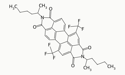 CCCCC(C)N1C(=O)c2ccc3c4c(C(F)(F)F)cc5c6c(cc(C(F)(F)F)c(c7ccc(c2c37)C1=O)c64)C(=O)N(C(C)CCCC)C5=O